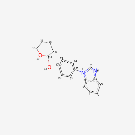 c1ccc2c(c1)ncn2-c1ccc(OC2CCCCO2)cc1